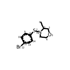 CC1COCCN1Sc1ccc(Br)cc1